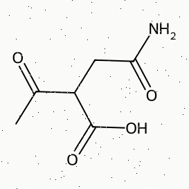 CC(=O)C(CC(N)=O)C(=O)O